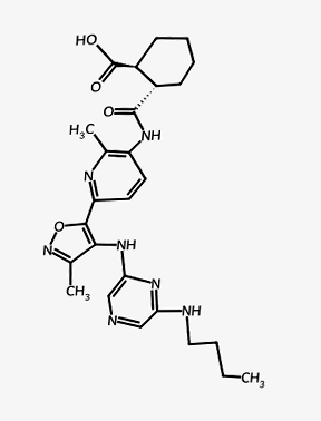 CCCCNc1cncc(Nc2c(C)noc2-c2ccc(NC(=O)[C@H]3CCCC[C@@H]3C(=O)O)c(C)n2)n1